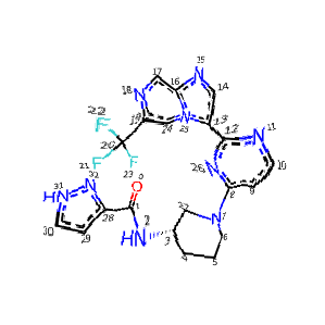 O=C(N[C@H]1CCCN(c2ccnc(-c3cnc4cnc(C(F)(F)F)cn34)n2)C1)c1cc[nH]n1